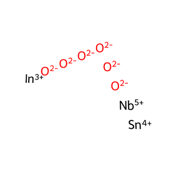 [In+3].[Nb+5].[O-2].[O-2].[O-2].[O-2].[O-2].[O-2].[Sn+4]